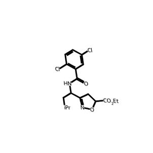 CCOC(=O)C1CC(C(CC(C)C)NC(=O)c2cc(Cl)ccc2Cl)=NO1